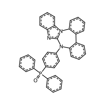 O=P(c1ccccc1)(c1ccccc1)c1ccc(N2c3ccccc3-c3ccccc3-n3c2nc2ccccc23)cc1